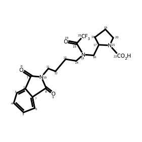 O=C1c2ccccc2C(=O)N1CCCCN(CC1CCCN1C(=O)O)C(=O)C(F)(F)F